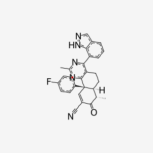 Cc1nc(-c2cccc3cn[nH]c23)c2c(n1)[C@@]1(c3ccc(F)cc3)C=C(C#N)C(=O)[C@@H](C)[C@@H]1CC2